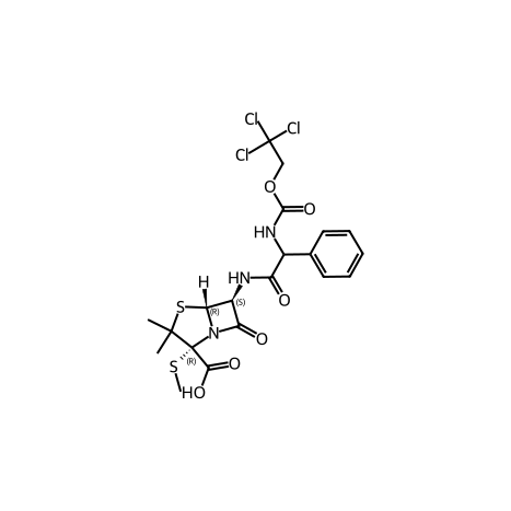 CS[C@@]1(C(=O)O)N2C(=O)[C@H](NC(=O)C(NC(=O)OCC(Cl)(Cl)Cl)c3ccccc3)[C@H]2SC1(C)C